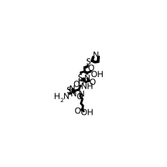 Nc1nc(C(=NOCCCC(=O)O)C(=O)NC2C(=O)N3C(C(=O)O)=C(C=CSc4cccnc4)CS[C@@H]23)ns1